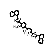 C=C(/C=C\C(=C)c1nnc(-c2cccc3ccccc23)o1)c1ccc(-c2nnc(-c3cccc4ccccc34)o2)c(C)c1